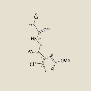 COc1ccc(Cl)c(C(=O)CNC(=O)CCl)c1